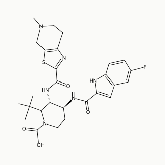 CN1CCc2nc(C(=O)N[C@H]3C(C(C)(C)C)N(C(=O)O)CC[C@@H]3NC(=O)c3cc4cc(F)ccc4[nH]3)sc2C1